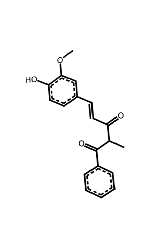 COc1cc(/C=C/C(=O)C(C)C(=O)c2ccccc2)ccc1O